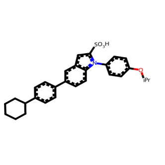 CC(C)Oc1ccc(-n2c(S(=O)(=O)O)cc3cc(-c4ccc(C5CCCCC5)cc4)ccc32)cc1